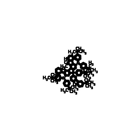 CC(C)(C)c1ccc(N(c2ccc(C(C)(C)C)cc2)c2cc3c(c4c2-c2ccccc2C4(C)C)-c2c(cc(N(c4ccc(C(C)(C)C)cc4)c4ccc(C(C)(C)C)cc4)c4c2oc2ccccc24)C3(c2ccc(C(C)(C)C)cc2)c2ccc3oc4ccc(C(C)(C)C)cc4c3c2)cc1